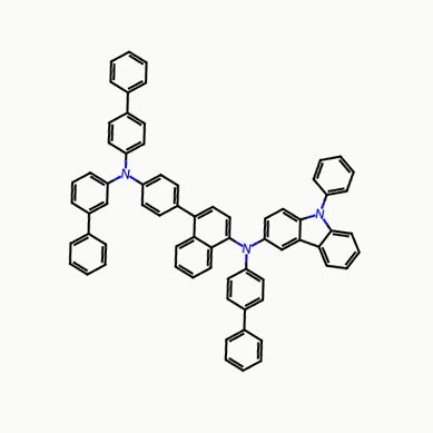 c1ccc(-c2ccc(N(c3ccc(-c4ccc(N(c5ccc(-c6ccccc6)cc5)c5ccc6c(c5)c5ccccc5n6-c5ccccc5)c5ccccc45)cc3)c3cccc(-c4ccccc4)c3)cc2)cc1